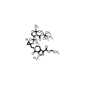 CCOC(=O)c1nn(C)c2c1CCN(CC1(SC(C)(C)[C@H]3COC(C)(C)N3C(=O)OC(C)(C)C)CC1)C2=O